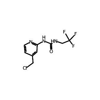 O=C(NCC(F)(F)F)Nc1cc(CCl)ccn1